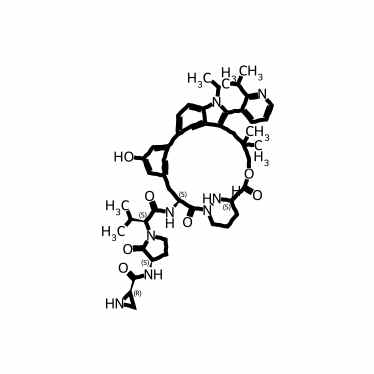 CCn1c(-c2cccnc2C(C)C)c2c3cc(ccc31)-c1cc(O)cc(c1)C[C@H](NC(=O)[C@H](C(C)C)N1CC[C@H](NC(=O)[C@H]3CN3)C1=O)C(=O)N1CCC[C@H](N1)C(=O)OCC(C)(C)C2